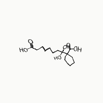 O=C(O)CCCCCCC(O)(O)C1(C(=O)O)CCCC1